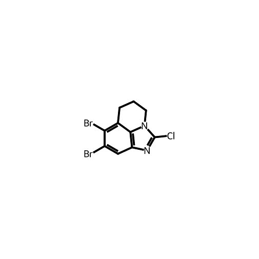 Clc1nc2cc(Br)c(Br)c3c2n1CCC3